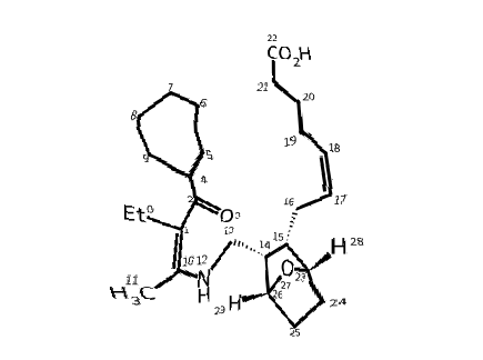 CCC(C(=O)C1CCCCC1)=C(C)NC[C@@H]1[C@H](C/C=C\CCCC(=O)O)[C@@H]2CC[C@H]1O2